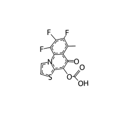 Cc1c(F)c(F)c(F)c2c1c(=O)c(OC(=O)O)c1sccn12